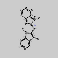 Cc1c(/N=C2\N=c3ccccc3=[N+]2C)n(C)c2ccccc12